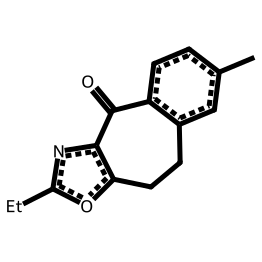 CCc1nc2c(o1)CCc1cc(C)ccc1C2=O